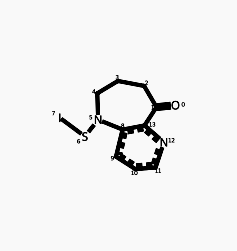 O=C1CCCN(SI)c2cccnc21